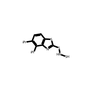 CC(C)c1ccc2sc(SNS)nc2c1C(C)C